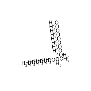 O.O.O.O.O.O.O.O.O.O.O.O.O.O.O.O.O.O